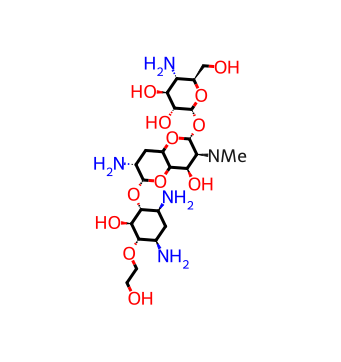 CN[C@@H]1[C@@H](O[C@H]2O[C@H](CO)[C@@H](N)[C@H](O)[C@H]2O)OC2C[C@@H](N)[C@@H](O[C@H]3[C@H](O)[C@@H](OCCO)[C@H](N)C[C@@H]3N)OC2[C@@H]1O